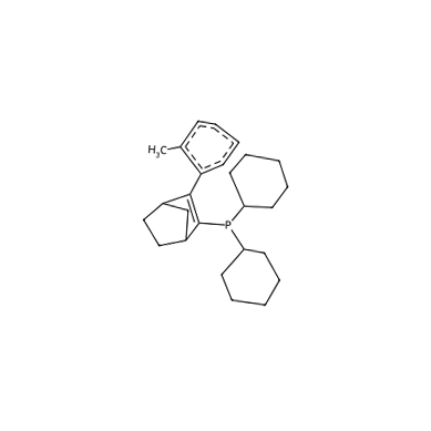 Cc1ccccc1C1=C(P(C2CCCCC2)C2CCCCC2)C2CCC1C2